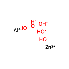 [Al+3].[OH-].[OH-].[OH-].[OH-].[OH-].[Zn+2]